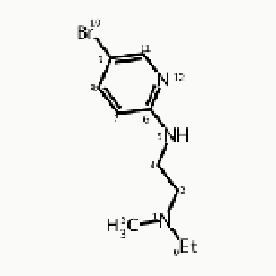 CCN(C)CCNc1ccc(Br)cn1